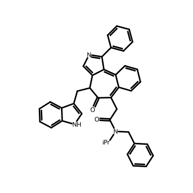 CC(C)N(Cc1ccccc1)C(=O)CC1=c2ccccc2=C2C(=CN=C2c2ccccc2)C(Cc2c[nH]c3ccccc23)C1=O